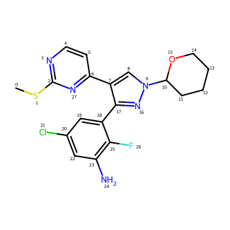 CSc1nccc(-c2cn(C3CCCCO3)nc2-c2cc(Cl)cc(N)c2F)n1